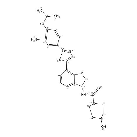 CC(C)Oc1ccc(-c2ncc(-c3cccc4c3CC[C@@H]4NC(=O)N3CCC(O)CC3)s2)cc1N